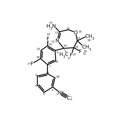 [C-]#[N+]c1cccc(-c2cc([C@@]3(C)N=C(N)COC(C)(C)C3(F)F)c(F)cc2F)c1